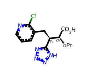 CCC[C@H](C(=O)O)[C@H](Cc1cccnc1Cl)c1nnn[nH]1